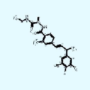 CN(NC(=O)c1ccc(/C=C/C(c2cc(Cl)c(F)c(Cl)c2)C(F)(F)F)cc1C(F)(F)F)C(=O)NCC(F)(F)F